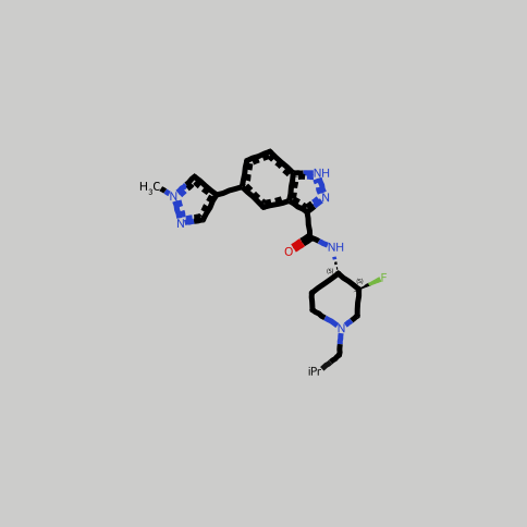 CC(C)CN1CC[C@H](NC(=O)c2n[nH]c3ccc(-c4cnn(C)c4)cc23)[C@@H](F)C1